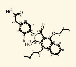 CCCOc1c2c(c(OCCC)c3ccccc13)C(O)N(c1ccc(CC(=O)O)cc1C)C2=O